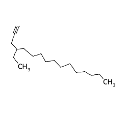 [C]#CCC(CC)CCCCCCCCCCCC